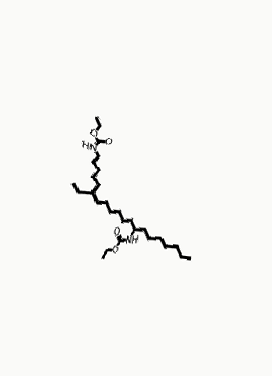 CCCCCCCC(CCCCCCC(CC)CCCCCNC(=O)OCC)NC(=O)OCC